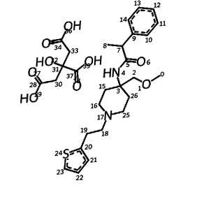 COCC1(NC(=O)C(C)c2ccccc2)CCN(CCc2cccs2)CC1.O=C(O)CC(O)(CC(=O)O)C(=O)O